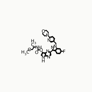 COC[C@H](C)NC(=O)Oc1c[nH]c2ncc(-c3nn(Cc4ccc(N5CCOCC5)nc4)c4cc(F)ccc34)nc12